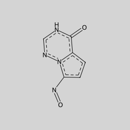 O=Nc1ccc2c(=O)[nH]cnn12